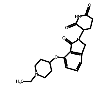 CCN1CCC(Oc2cccc3c2C(=O)N(C2CCC(=O)NC2=O)C3)CC1